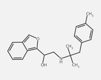 Cc1ccc(CC(C)(C)NCC(O)c2occ3ccccc23)cc1